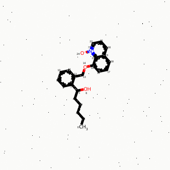 CCCCCC(O)c1ccccc1COc1cccc2ccc[n+]([O-])c12